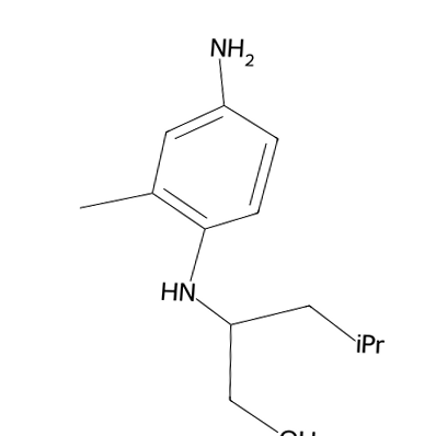 Cc1cc(N)ccc1NC(CO)CC(C)C